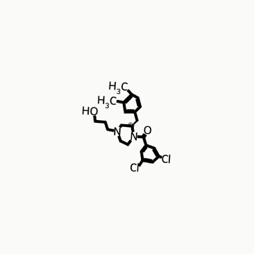 Cc1ccc(C[C@@H]2CN(CCCO)CCN2C(=O)c2cc(Cl)cc(Cl)c2)cc1C